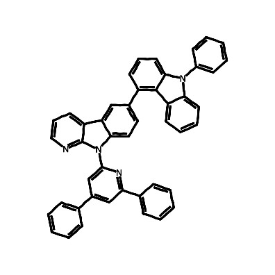 c1ccc(-c2cc(-c3ccccc3)nc(-n3c4ccc(-c5cccc6c5c5ccccc5n6-c5ccccc5)cc4c4cccnc43)c2)cc1